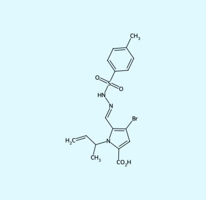 C=CC(C)n1c(C(=O)O)cc(Br)c1C=NNS(=O)(=O)c1ccc(C)cc1